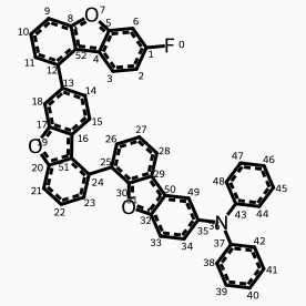 Fc1ccc2c(c1)oc1cccc(-c3ccc4c(c3)oc3cccc(-c5cccc6c5oc5ccc(N(c7ccccc7)c7ccccc7)cc56)c34)c12